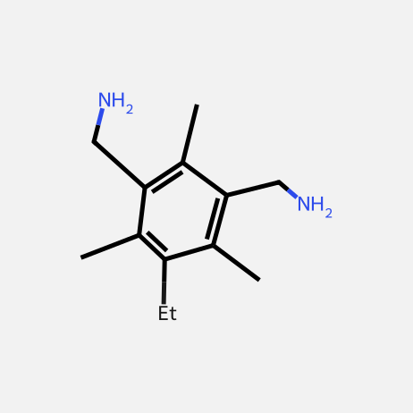 CCc1c(C)c(CN)c(C)c(CN)c1C